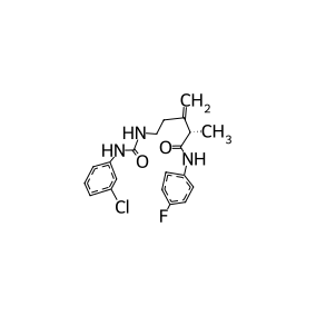 C=C(CCNC(=O)Nc1cccc(Cl)c1)[C@H](C)C(=O)Nc1ccc(F)cc1